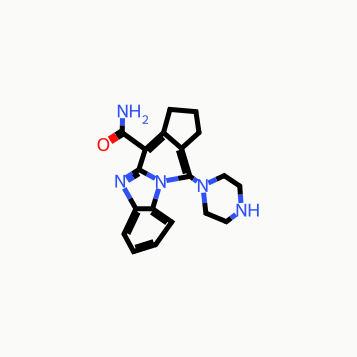 NC(=O)c1c2c(c(N3CCNCC3)n3c1nc1ccccc13)CCC2